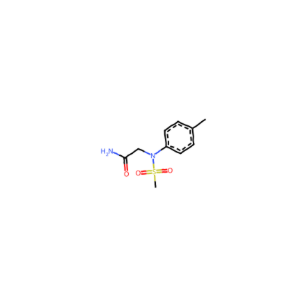 Cc1ccc(N(CC(N)=O)S(C)(=O)=O)cc1